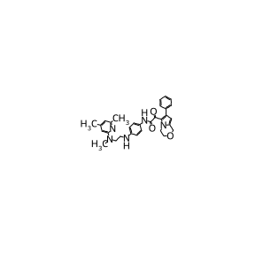 Cc1cc(C)nc(N(C)CCNc2ccc(NC(=O)C(=O)c3c(-c4ccccc4)cc4n3CCOC4)cc2)c1